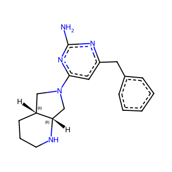 Nc1nc(Cc2ccccc2)cc(N2C[C@H]3CCCN[C@H]3C2)n1